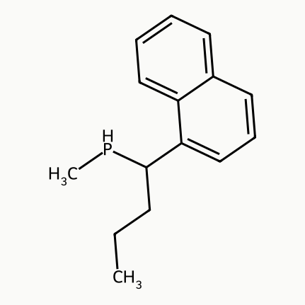 CCCC(PC)c1cccc2ccccc12